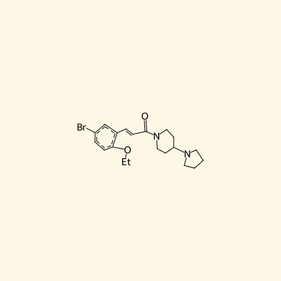 CCOc1ccc(Br)cc1/C=C/C(=O)N1CCC(N2CCCC2)CC1